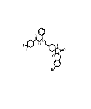 O=C(N[C@@H](CCN1CCC2(CC1)NC(=O)N(Cc1ccc(Br)cc1)C2=O)c1ccccc1)C1CCC(F)(F)CC1